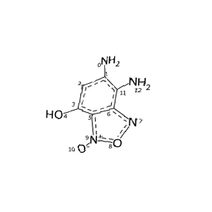 Nc1cc(O)c2c(no[n+]2[O-])c1N